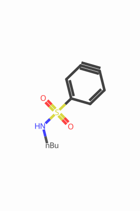 CCCCNS(=O)(=O)c1cc#ccc1